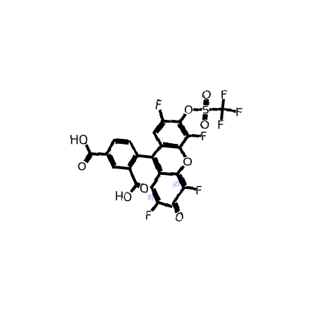 C/C(F)=C\C1=C(c2ccc(C(=O)O)cc2C(=O)O)c2cc(F)c(OS(=O)(=O)C(F)(F)F)c(F)c2O/C1=C(\F)C=O